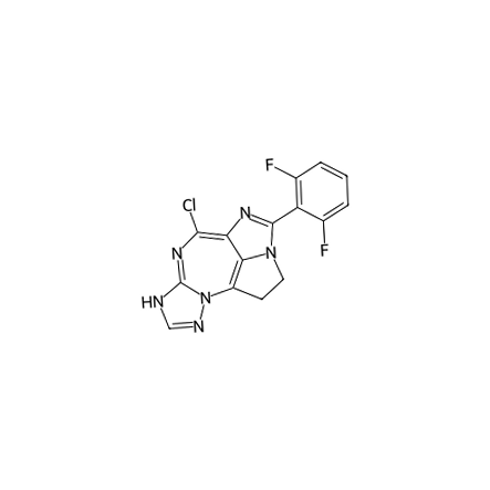 Fc1cccc(F)c1-c1nc2c3n1CCC=3N1N=CNC1=NC=2Cl